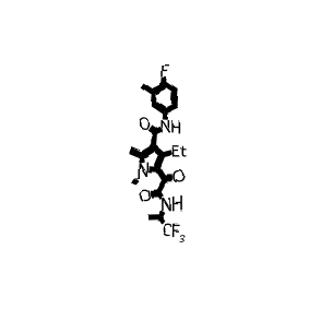 CCc1c(C(=O)Nc2ccc(F)c(C)c2)c(C)n(C)c1C(=O)C(=O)NC(C)C(F)(F)F